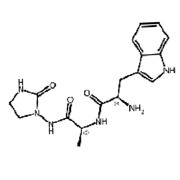 C[C@H](NC(=O)[C@H](N)Cc1c[nH]c2ccccc12)C(=O)NN1CCNC1=O